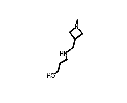 CN1CC(CNCCCO)C1